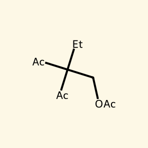 CCC(COC(C)=O)(C(C)=O)C(C)=O